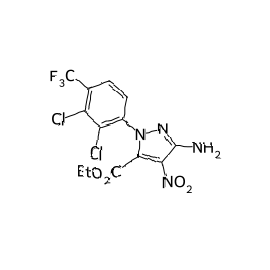 CCOC(=O)c1c([N+](=O)[O-])c(N)nn1-c1ccc(C(F)(F)F)c(Cl)c1Cl